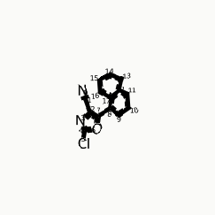 N#Cc1nc(Cl)oc1-c1cccc2ccccc12